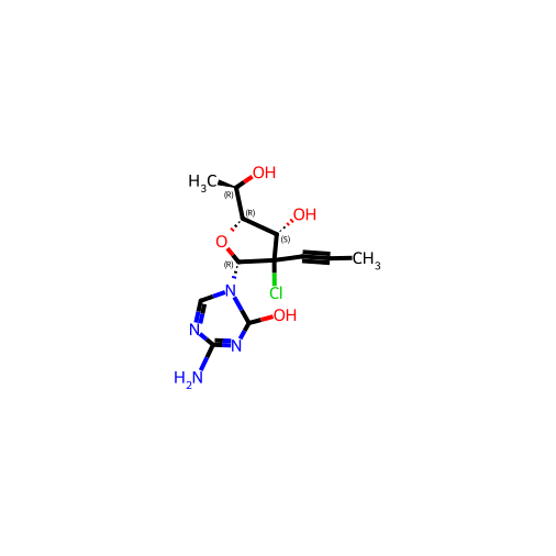 CC#CC1(Cl)[C@@H](O)[C@@H]([C@@H](C)O)O[C@H]1N1C=NC(N)=NC1O